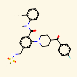 CCN(C(=O)c1ccc(CNS(C)(=O)=O)cc1N1CCC(C(=O)c2ccc(F)cc2)CC1)c1ccccc1OC